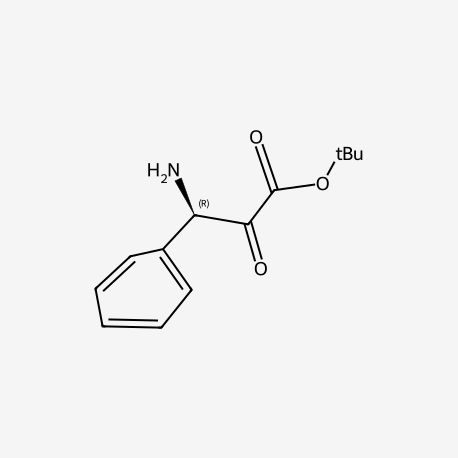 CC(C)(C)OC(=O)C(=O)[C@H](N)c1ccccc1